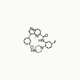 O=C(Nc1cc(F)ccc1N1CCNCC1)c1ccn2ncc(-c3cccc(Cl)c3)c2n1